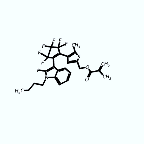 C=C(C)C(=O)OCc1cc(C2=C(c3c(I)n(CCCC)c4ccccc34)C(F)(F)C(F)(F)C2(F)F)c(C)s1